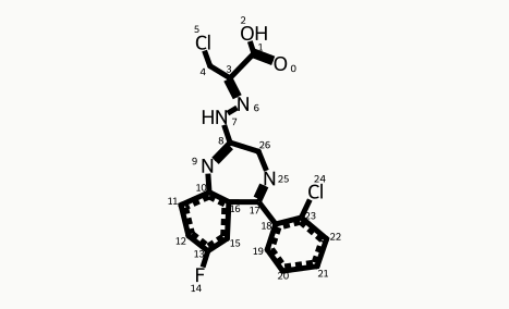 O=C(O)C(CCl)=NNC1=Nc2ccc(F)cc2C(c2ccccc2Cl)=NC1